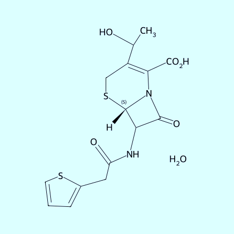 CC(O)C1=C(C(=O)O)N2C(=O)C(NC(=O)Cc3cccs3)[C@@H]2SC1.O